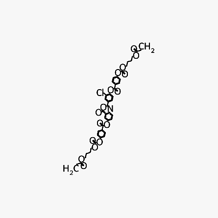 C=CC(=O)OCCCCOC(=O)Oc1ccc(C(=O)Oc2ccc3nc(-c4ccc(OC(=O)c5ccc(OC(=O)OCCCCOC(=O)C=C)cc5)c(Cl)c4)oc(=O)c3c2)cc1